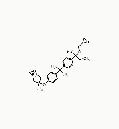 CCC(C)(CC1CO1)Oc1ccc(C(C)(C)c2ccc(C(C)(CC)OCC3CO3)cc2)cc1